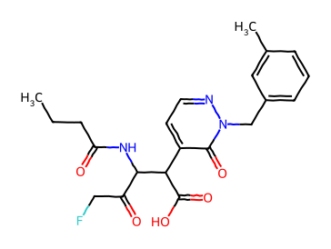 CCCC(=O)NC(C(=O)CF)C(C(=O)O)c1ccnn(Cc2cccc(C)c2)c1=O